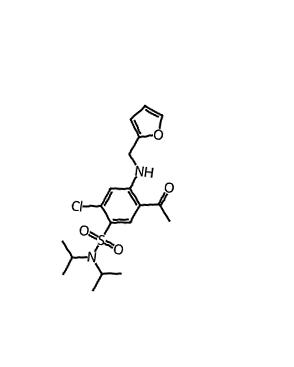 CC(=O)c1cc(S(=O)(=O)N(C(C)C)C(C)C)c(Cl)cc1NCc1ccco1